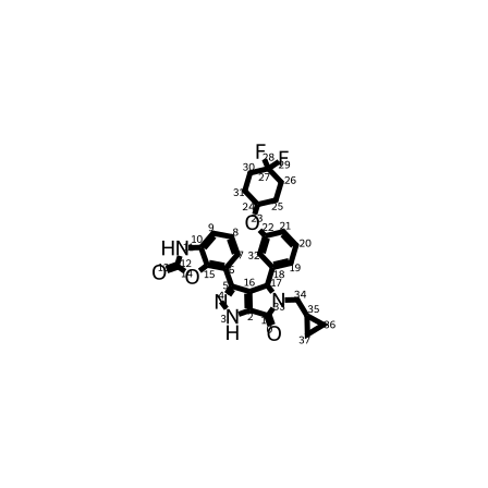 O=C1c2[nH]nc(-c3cccc4[nH]c(=O)oc34)c2C(c2cccc(OC3CCC(F)(F)CC3)c2)N1CC1CC1